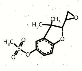 CC1(C)c2cc(OS(C)(=O)=O)ccc2OC1C1CO1